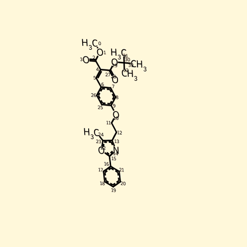 COC(=O)C(=Cc1ccc(OCCc2nc(-c3ccccc3)oc2C)cc1)C(=O)OC(C)(C)C